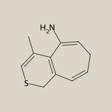 CC1=CSCC2=C1C(N)=CCC=C2